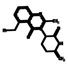 C=C1CCC(n2c(C)nc3cccc(CC(C)C)c3c2=O)C(=O)N1